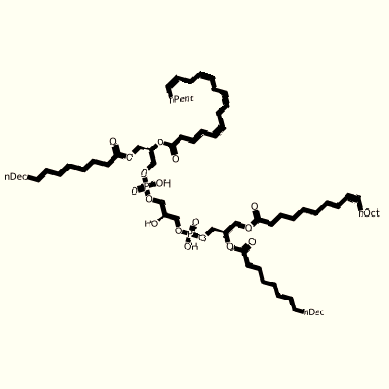 CCCCC/C=C\C/C=C\C/C=C\C/C=C\CCCC(=O)O[C@H](COC(=O)CCCCCCCCCCCCCCCCC)COP(=O)(O)OC[C@H](O)COP(=O)(O)OC[C@@H](COC(=O)CCCCCCC/C=C\CCCCCCCC)OC(=O)CCCCCCCCCCCCCCCCC